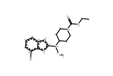 Br.CCOC(=O)N1CCC(N(C)c2nc3cccc(Cl)c3s2)CC1